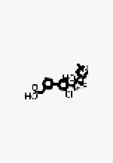 Cc1cc(C(O)(C(C)c2ccc(-c3cccc(CC(=O)O)c3)cc2Cl)C(F)(F)F)ccn1